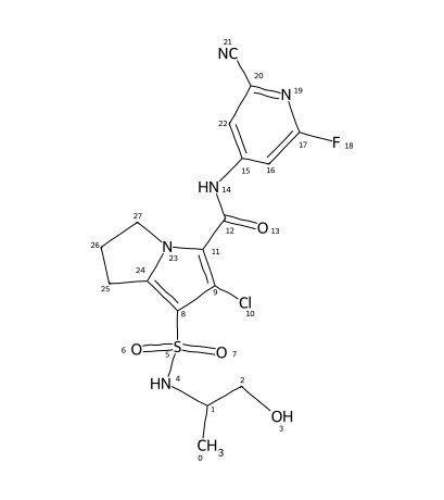 CC(CO)NS(=O)(=O)c1c(Cl)c(C(=O)Nc2cc(F)nc(C#N)c2)n2c1CCC2